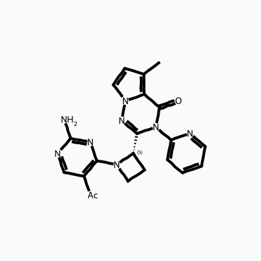 CC(=O)c1cnc(N)nc1N1CC[C@H]1c1nn2ccc(C)c2c(=O)n1-c1ccccn1